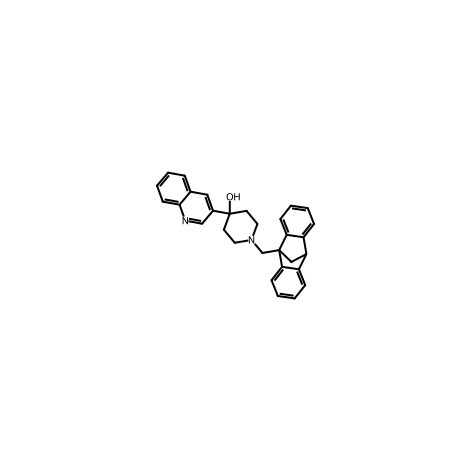 OC1(c2cnc3ccccc3c2)CCN(CC23CC(c4ccccc42)c2ccccc23)CC1